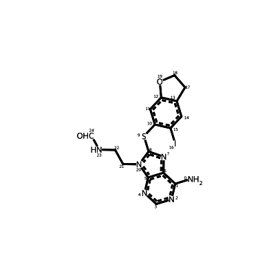 Nc1ncnc2c1nc(Sc1cc3c(cc1I)CCO3)n2CCNC=O